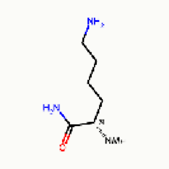 CN[C@@H](CCCCN)C(N)=O